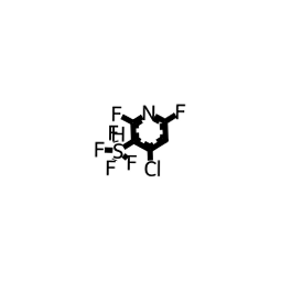 Fc1cc(Cl)c([SH](F)(F)(F)F)c(F)n1